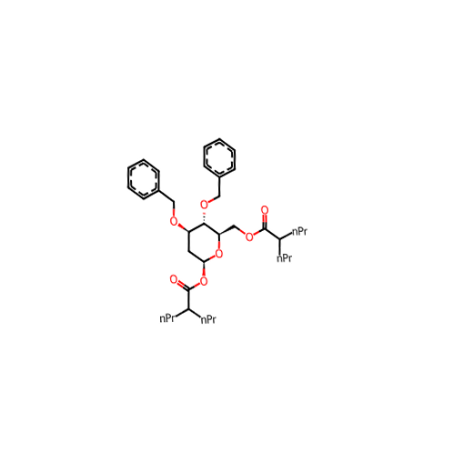 CCCC(CCC)C(=O)OC[C@H]1O[C@@H](OC(=O)C(CCC)CCC)C[C@@H](OCc2ccccc2)[C@@H]1OCc1ccccc1